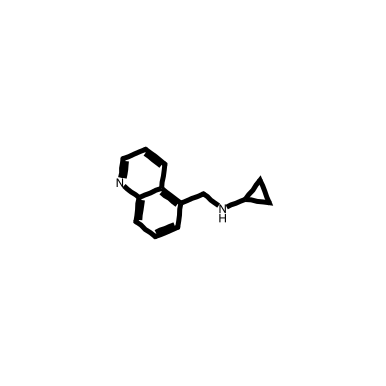 c1cc(CNC2CC2)c2cccnc2c1